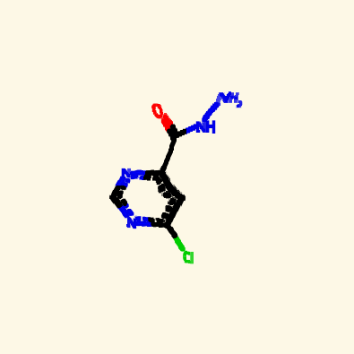 NNC(=O)c1cc(Cl)ncn1